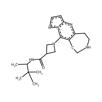 CC(NC(=O)C1CN(c2c3c(nc4ccnn24)CCNCC3)C1)C(C)(C)C